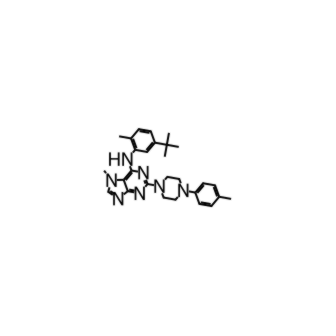 Cc1ccc(N2CCN(c3nc(Nc4cc(C(C)(C)C)ccc4C)c4c(ncn4C)n3)CC2)cc1